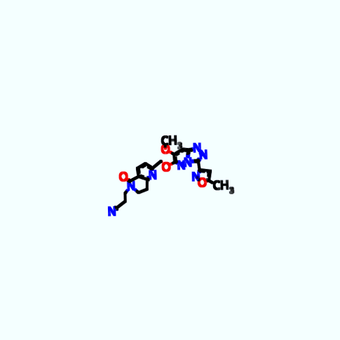 COc1cc2nnc(-c3cc(C)on3)n2nc1OCc1ccc2c(n1)CCN(CCC#N)C2=O